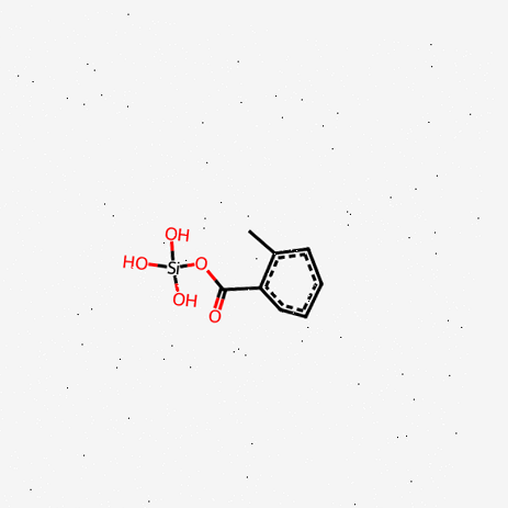 Cc1ccccc1C(=O)O[Si](O)(O)O